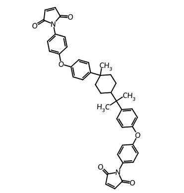 CC1(c2ccc(Oc3ccc(N4C(=O)C=CC4=O)cc3)cc2)CCC(C(C)(C)c2ccc(Oc3ccc(N4C(=O)C=CC4=O)cc3)cc2)CC1